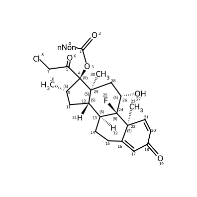 CCCCCCCCCC(=O)O[C@]1(C(=O)CCl)[C@@H](C)C[C@H]2[C@@H]3CCC4=CC(=O)C=C[C@]4(C)[C@@]3(F)[C@@H](O)C[C@@]21C